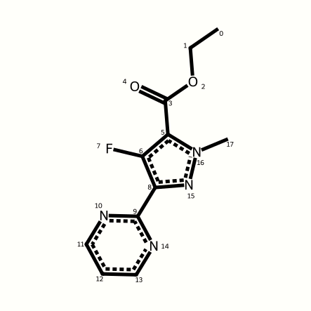 CCOC(=O)c1c(F)c(-c2ncccn2)nn1C